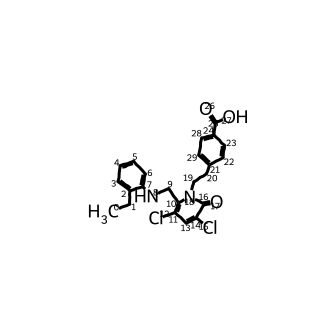 CCc1ccccc1NCc1c(Cl)cc(Cl)c(=O)n1CCc1ccc(C(=O)O)cc1